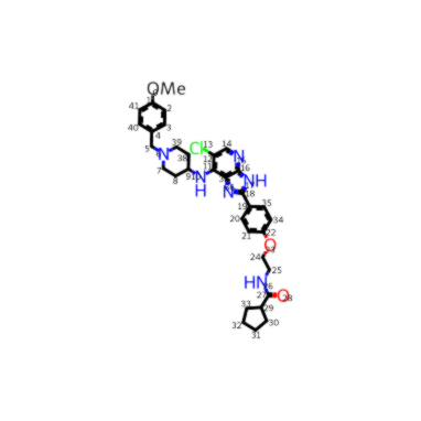 COc1ccc(CN2CCC(Nc3c(Cl)cnc4[nH]c(-c5ccc(OCCNC(=O)C6CCCC6)cc5)nc34)CC2)cc1